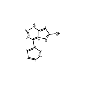 Oc1cc2[nH]nnc(-c3ccccc3)c-2n1